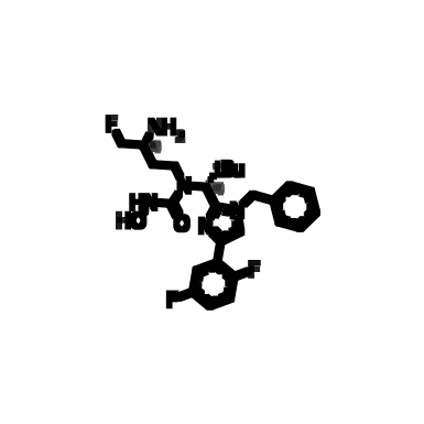 CC(C)(C)[C@H](c1nc(-c2cc(F)ccc2F)cn1Cc1ccccc1)N(CC[C@H](N)CF)C(=O)NO